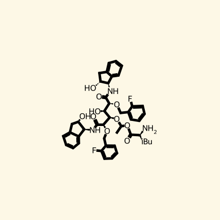 CC[C@H](C)[C@H](N)C(=O)OC(C)O[C@H]([C@@H](O)[C@@H](OCc1ccccc1F)C(=O)N[C@H]1c2ccccc2C[C@H]1O)[C@@H](OCc1ccccc1F)C(=O)N[C@H]1c2ccccc2C[C@H]1O